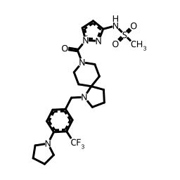 CS(=O)(=O)Nc1ccn(C(=O)N2CCC3(CCCN3Cc3ccc(N4CCCC4)c(C(F)(F)F)c3)CC2)n1